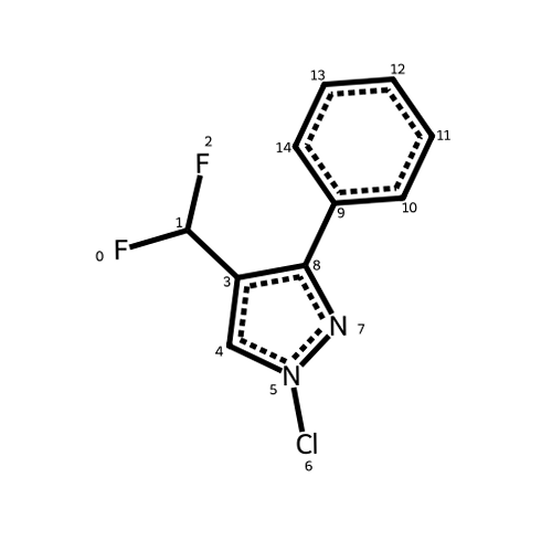 FC(F)c1cn(Cl)nc1-c1ccccc1